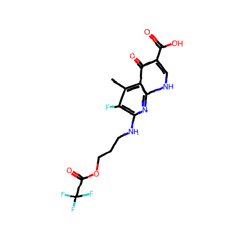 Cc1c(F)c(NCCCOC(=O)C(F)(F)F)nc2[nH]cc(C(=O)O)c(=O)c12